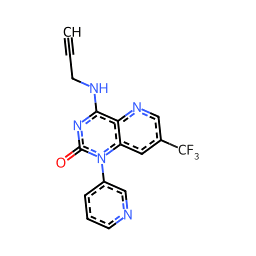 C#CCNc1nc(=O)n(-c2cccnc2)c2cc(C(F)(F)F)cnc12